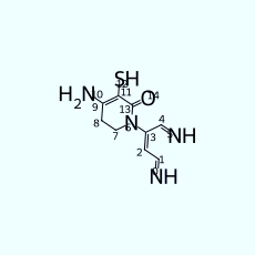 N=C/C=C(\C=N)N1CCC(N)=C(S)C1=O